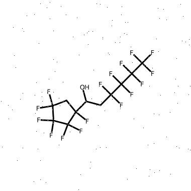 OC(CC(F)(F)C(F)(F)C(F)(F)C(F)(F)F)C1(F)CC(F)(F)C(F)(F)C1(F)F